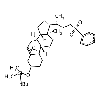 C[C@H](CCS(=O)(=O)c1ccccc1)[C@H]1CC[C@H]2[C@@H]3CC=C4CC(O[Si](C)(C)C(C)(C)C)CC[C@]4(C)[C@H]3CC[C@]12C